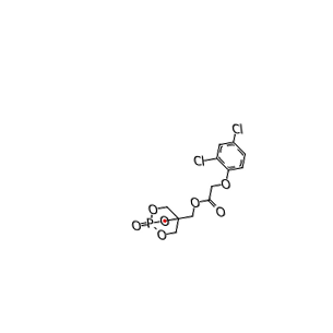 O=C(COc1ccc(Cl)cc1Cl)OCC12COP(=O)(OC1)OC2